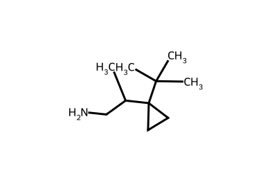 CC(CN)C1(C(C)(C)C)CC1